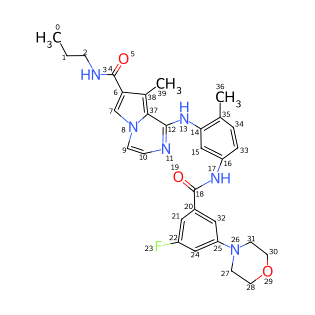 CCCNC(=O)c1cn2ccnc(Nc3cc(NC(=O)c4cc(F)cc(N5CCOCC5)c4)ccc3C)c2c1C